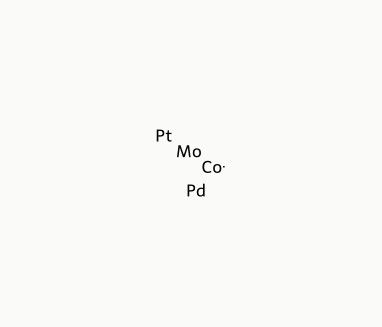 [Co].[Mo].[Pd].[Pt]